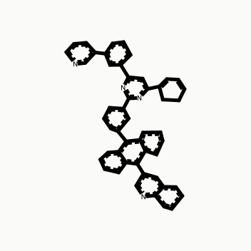 C1=CCCC(c2cc(-c3cccc(-c4cccnc4)c3)nc(-c3cccc(-c4c5ccccc5c(-c5cnc6ccccc6c5)c5ccccc45)c3)n2)=C1